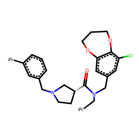 CC(C)CN(Cc1cc(Cl)c2c(c1)OCCCO2)C(=O)[C@@H]1CCN(Cc2cccc(C(C)C)c2)C1